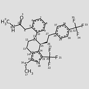 CNC(=O)Cc1ccccc1N1CCn2c(SC)nc(C(F)(F)F)c2[C@@H]1CCc1ccc(C(F)(F)F)cc1